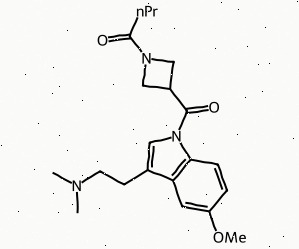 CCCC(=O)N1CC(C(=O)n2cc(CCN(C)C)c3cc(OC)ccc32)C1